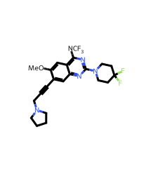 COc1cc2c(NC(F)(F)F)nc(N3CCC(F)(F)CC3)nc2cc1C#CCN1CCCC1